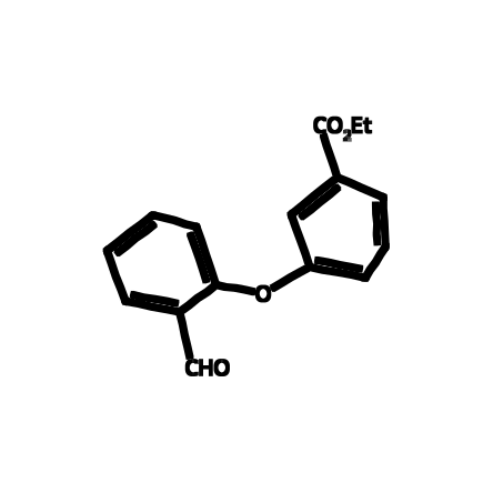 CCOC(=O)c1cccc(Oc2ccccc2C=O)c1